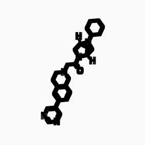 O=C(CN1CCc2cc(-c3cncnc3)ccc2C1)N1C[C@@H]2C[C@H]1CN2C1CCCCC1